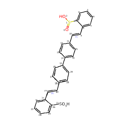 O=S(O)c1ccccc1/C=C/c1ccc(-c2ccc(/C=C/c3ccccc3S(=O)(=O)O)cc2)cc1